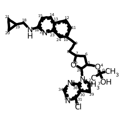 CC(C)(O)OC1CC(CCc2ccc3ccc(NCC4CC4)nc3c2)OC1n1ccc2c(Cl)ncnc21